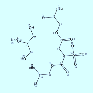 CCCCC(CC)COC(=O)CC(C(=O)OCC(CC)CCCC)S(=O)(=O)[O-].OCC(O)CO.[Na+]